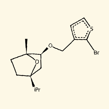 CC(C)[C@@]12CC[C@@](C)(O1)[C@@H](OCc1ccsc1Br)C2